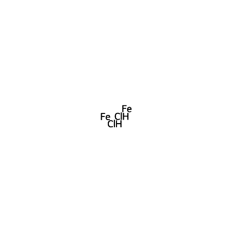 Cl.Cl.[Fe].[Fe]